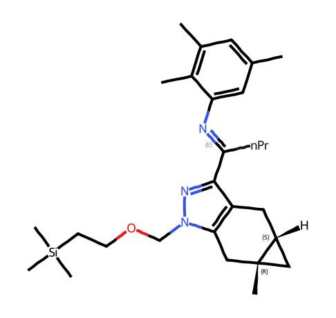 CCC/C(=N\c1cc(C)cc(C)c1C)c1nn(COCC[Si](C)(C)C)c2c1C[C@@H]1C[C@]1(C)C2